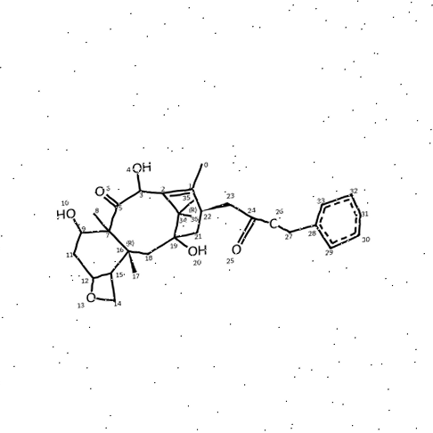 CC1=C2C(O)C(=O)C3(C)C(O)CC4OCC4[C@@]3(C)CC(O)(C[C@@H]1CC(=O)CCc1ccccc1)C2(C)C